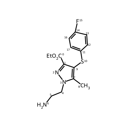 CCOC(=O)c1nn(CCN)c(C)c1Sc1ccc(F)cc1